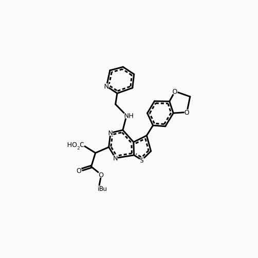 CCC(C)OC(=O)C(C(=O)O)c1nc(NCc2ccccn2)c2c(-c3ccc4c(c3)OCO4)csc2n1